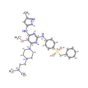 COc1c(Nc2cc(C)[nH]n2)nc(Nc2ccc(S(=O)(=O)Cc3ccccc3)cc2)nc1N1CCN(CCN(C)C)CC1